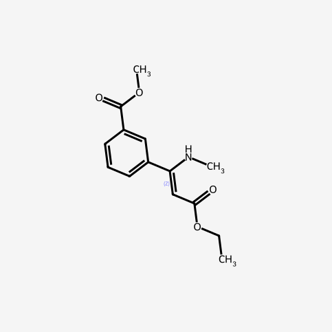 CCOC(=O)/C=C(\NC)c1cccc(C(=O)OC)c1